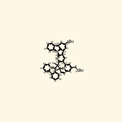 C=CC1(C)[n+]2ccc(CC(C)(C)C)cc2-c2cc3c4cc(C(C)(C)C)cc5c6ccccc6n(c3nc2C1(C)C1c2ccccc2-c2cccc[n+]21)c54